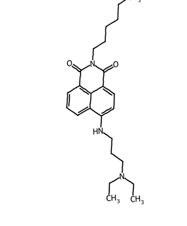 CCCCCCN1C(=O)c2cccc3c(NCCCN(CC)CC)ccc(c23)C1=O